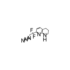 [N-]=[N+]=NCC(F)(F)c1ccc2c(n1)NCCC2